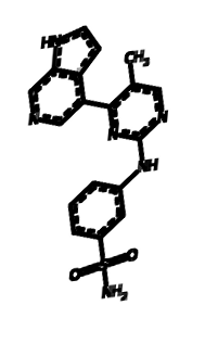 Cc1cnc(Nc2cccc(S(N)(=O)=O)c2)nc1-c1cncc2[nH]ccc12